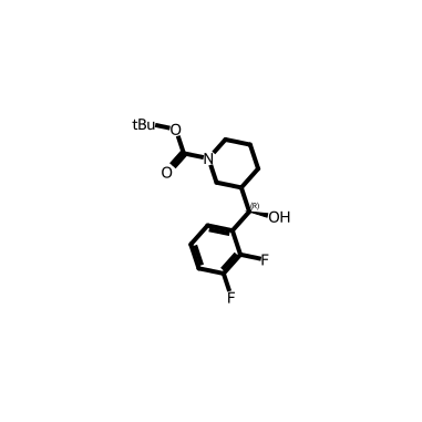 CC(C)(C)OC(=O)N1CCCC([C@@H](O)c2cccc(F)c2F)C1